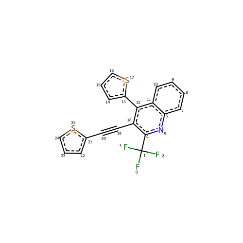 FC(F)(F)c1nc2ccccc2c(-c2cccs2)c1C#Cc1cccs1